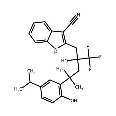 CC(C)c1ccc(O)c(C(C)(C)CC(O)(Cc2[nH]c3ccccc3c2C#N)C(F)(F)F)c1